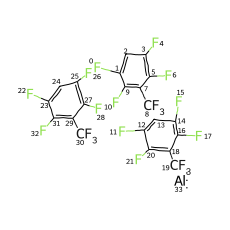 Fc1cc(F)c(F)c(C(F)(F)F)c1F.Fc1cc(F)c(F)c(C(F)(F)F)c1F.Fc1cc(F)c(F)c(C(F)(F)F)c1F.[Al]